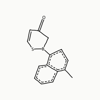 Cc1ccc(B2CC(=O)C=CS2)c2ccccc12